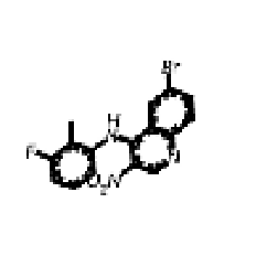 Cc1c(F)cccc1Nc1c([N+](=O)[O-])cnc2ccc(Br)cc12